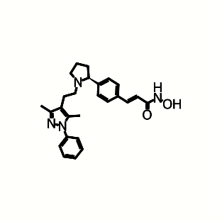 Cc1nn(-c2ccccc2)c(C)c1CCN1CCC[C@H]1c1ccc(/C=C/C(=O)NO)cc1